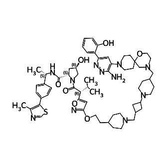 Cc1ncsc1-c1ccc([C@H](C)NC(=O)[C@@H]2C[C@@H](O)CN2C(=O)[C@@H](c2cc(OCCC3CCN(CC4CC(N5CCC(CN6CCOC7(CCN(c8cc(-c9ccccc9O)nnc8N)CC7)C6)CC5)C4)CC3)no2)C(C)C)cc1